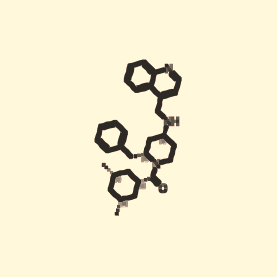 C[C@@H]1C[C@H](C)C[C@H](C(=O)N2CC[C@H](NCc3ccnc4ccccc34)C[C@H]2Cc2ccccc2)C1